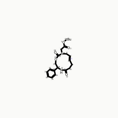 CC(C)(C)OC(=O)CN1C/C=C/CCC(=O)NC(c2ccccc2)COC1=O